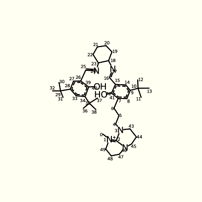 C[N+]1=C2N(CCCc3cc(C(C)(C)C)cc(/C=N/C4CCCCC4/N=C/c4cc(C(C)(C)C)cc(C(C)(C)C)c4O)c3O)CCCN2CCC1